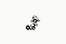 COc1cc(Br)cn(CC(=O)c2cnn(Cc3ccccc3)c2C)c1=O